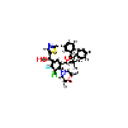 C[C@@H]1CN(c2c(CO[Si](c3ccccc3)(c3ccccc3)C(C)(C)C)cc(C(O)c3cncs3)c(F)c2Cl)C[C@H](C)O1